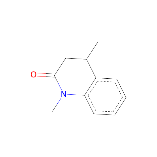 CC1CC(=O)N(C)c2ccccc21